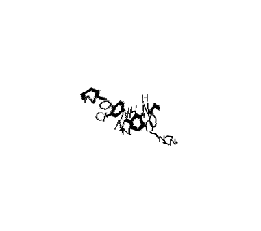 C=CC(=O)Nc1cc2c(Nc3ccc(OCc4ccccn4)c(Cl)c3)ncnc2cc1OCCCN1CCN(C)CC1